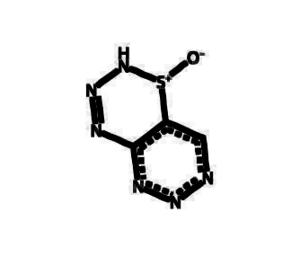 [O-][S+]1NN=Nc2nnncc21